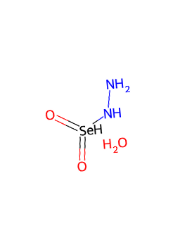 NN[SeH](=O)=O.O